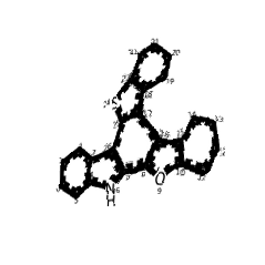 c1ccc2c(c1)[nH]c1c3oc4ccccc4c3c3c4ccccc4sc3c21